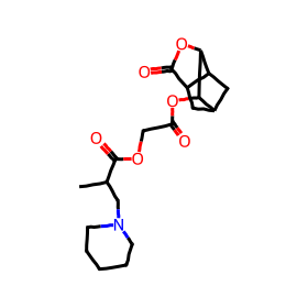 CC(CN1CCCCC1)C(=O)OCC(=O)OC1C2CC3C(=O)OC1C3C2